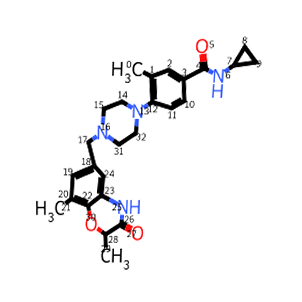 Cc1cc(C(=O)NC2CC2)ccc1N1CCN(Cc2cc(C)c3c(c2)NC(=O)C(C)O3)CC1